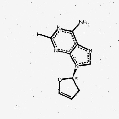 Nc1nc(I)nc2c1ncn2[C@H]1CC=CO1